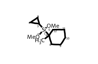 CO[Si](OC)(C1CC1)C1(C)CCCCC1